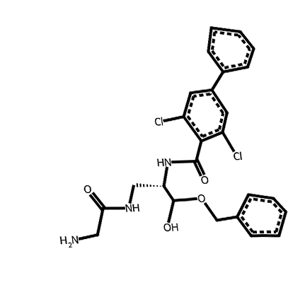 NCC(=O)NC[C@H](NC(=O)c1c(Cl)cc(-c2ccccc2)cc1Cl)C(O)OCc1ccccc1